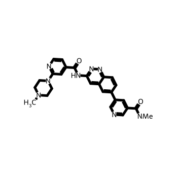 CNC(=O)c1cncc(-c2ccc3nnc(NC(=O)c4ccnc(N5CCN(C)CC5)c4)cc3c2)c1